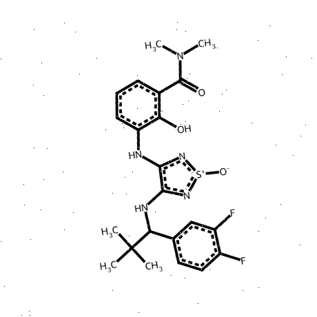 CN(C)C(=O)c1cccc(Nc2n[s+]([O-])nc2NC(c2ccc(F)c(F)c2)C(C)(C)C)c1O